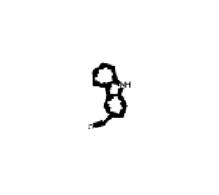 O=Cc1c[c]c2[nH]c3ccccc3c2c1